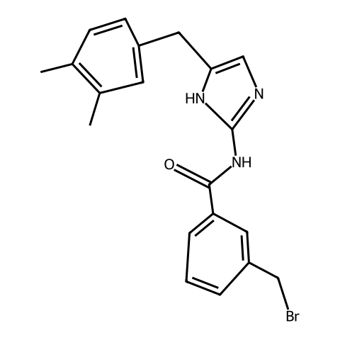 Cc1ccc(Cc2cnc(NC(=O)c3cccc(CBr)c3)[nH]2)cc1C